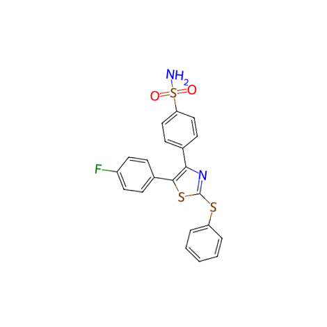 NS(=O)(=O)c1ccc(-c2nc(Sc3ccccc3)sc2-c2ccc(F)cc2)cc1